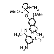 COC[C@]1(COc2cc3c(N[C@H](C)c4cc(N)cc(C(F)(F)F)c4)nc(C)nc3cc2OC)CCCN1C